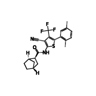 Cc1ccc(C)c(-c2sc(NC(=O)[C@H]3C[C@@H]4CC[C@@H]3C4)c(C#N)c2C(F)(F)F)c1